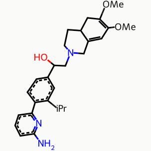 COC1=C(OC)CC2CCN(CC(O)c3ccc(-c4cccc(N)n4)c(C(C)C)c3)CC2=C1